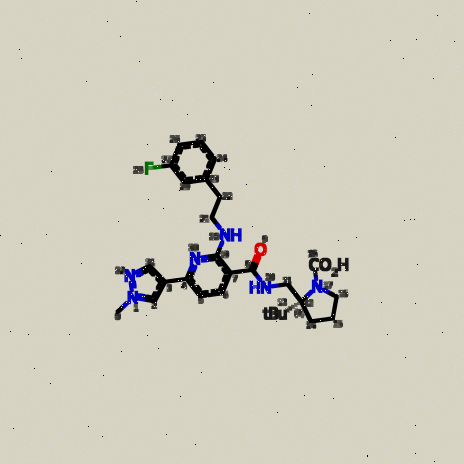 Cn1cc(-c2ccc(C(=O)NC[C@]3(C(C)(C)C)CCCN3C(=O)O)c(NCCc3cccc(F)c3)n2)cn1